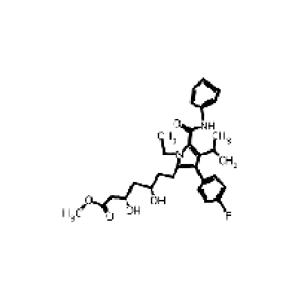 CCn1c(CC[C@@H](O)C[C@@H](O)CC(=O)OC)c(-c2ccc(F)cc2)c(C(C)C)c1C(=O)Nc1ccccc1